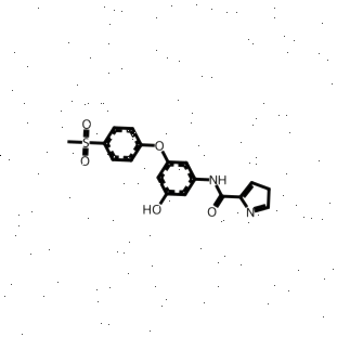 CS(=O)(=O)c1ccc(Oc2cc(O)cc(NC(=O)C3=CCC=N3)c2)cc1